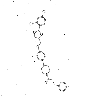 O=C(CCc1ccccc1)N1CCN(c2ccc(OCC3COC(c4ccc(Cl)cc4Cl)O3)cc2)CC1